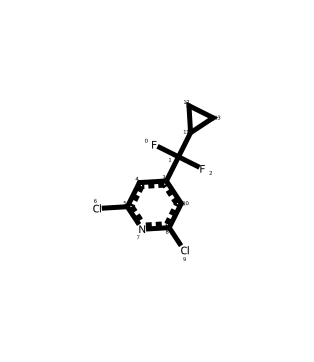 FC(F)(c1cc(Cl)nc(Cl)c1)C1CC1